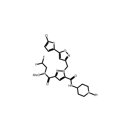 CON(CC(F)F)C(=O)c1cc(C(=O)NC2CCN(C(C)C)CC2)n(Cc2cc(-c3ccc(Cl)s3)on2)n1